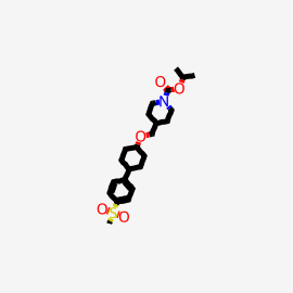 CC(C)OC(=O)N1CCC(COC2CCC(c3ccc(S(C)(=O)=O)cc3)CC2)CC1